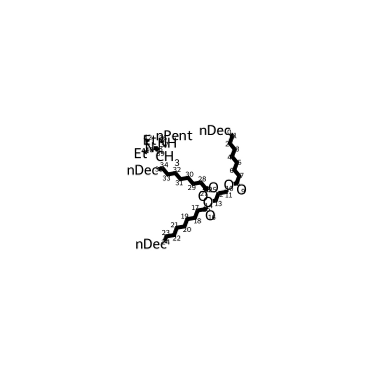 CCCCCCCCCCCCCCCCCC(=O)OCC(COC(=O)CCCCCCCCCCCCCCCCC)OC(=O)CCCCCCCCCCCCCCCCC.CCCCCNC(C)N(CC)CC